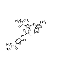 Cc1nn2c3c(nc2s1)CCN(C(=O)COc1ccc(C(=O)N(C)C)nc1Cl)[C@H]3c1sc(C(=O)N(C)C)cc1F